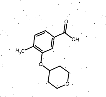 Cc1ccc(C(=O)O)cc1OC1CCOCC1